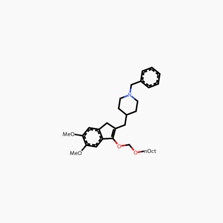 CCCCCCCCOCOC1=C(CC2CCN(Cc3ccccc3)CC2)Cc2cc(OC)c(OC)cc21